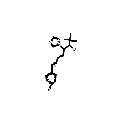 CC(C)(C)C(O)C(CC/C=C/c1ccc(F)cc1)n1cncn1